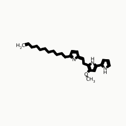 C=CCCCCCCCCCC1=NC(=CCc2[nH]c(-c3ccc[nH]3)cc2OC)C=C1